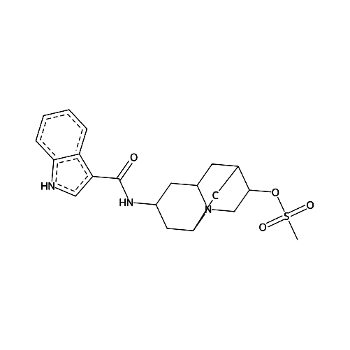 CS(=O)(=O)OC1CN2C3CC(NC(=O)c4c[nH]c5ccccc45)CC2CC1C3